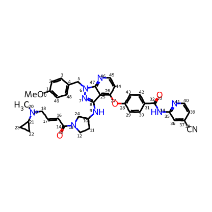 COc1ccc(Cn2nc(NC3CCN(C(=O)/C=C/CN(C)C4CC4)C3)c3c(Oc4ccc(C(=O)Nc5cc(C#N)ccn5)cc4)ccnc32)cc1